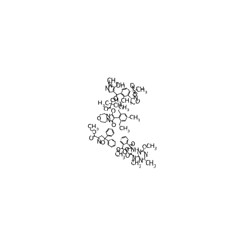 CCOC(=O)C1=NOC(c2ccccc2)(c2ccccc2)C1.CCc1cc(C)cc(CC)c1-c1c(OC(=O)C(C)(C)C)n2n(c1=O)CCOCC2.COC(=O)c1ccccc1S(=O)(=O)NC(=O)N(C)c1nc(C)nc(OC)n1.Cc1c(C(=O)c2cnn(C)c2O)ccc(S(C)(=O)=O)c1C1=NOCC1